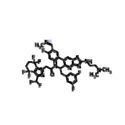 C/N=C\c1cc(-c2cc3sc(NCCN(C)C)nc3nc2C(Cc2cc(F)cc(F)c2)NC(=O)Cn2nc(C(F)F)c3c2C(F)(F)CCC3(F)F)ccc1F